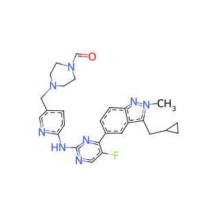 Cn1nc2ccc(-c3nc(Nc4ccc(CN5CCN(C=O)CC5)cn4)ncc3F)cc2c1CC1CC1